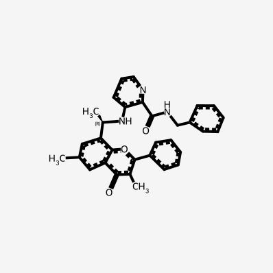 Cc1cc([C@@H](C)Nc2cccnc2C(=O)NCc2ccccc2)c2oc(-c3ccccc3)c(C)c(=O)c2c1